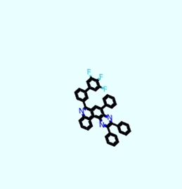 Fc1cc(-c2cccc(-c3nc4ccccc4c4c3cc(-c3ccccc3)c3nc(-c5ccccc5)c(-c5ccccc5)nc34)c2)cc(F)c1F